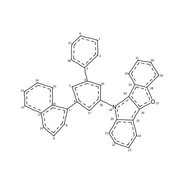 c1ccc(-c2cc(-c3cccc4ccccc34)cc(-n3c4ccccc4c4oc5ccccc5c43)c2)cc1